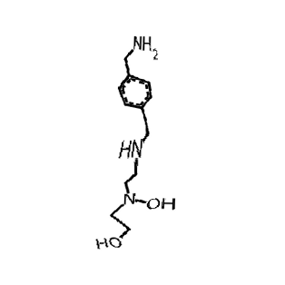 NCc1ccc(CNCCN(O)CCO)cc1